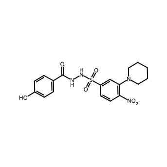 O=C(NNS(=O)(=O)c1ccc([N+](=O)[O-])c(N2CCCCC2)c1)c1ccc(O)cc1